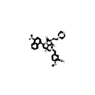 COc1ccc(CN2C[C@H]3CC(c4ccc(N(C)C)c5ccccc45)N4C(=O)N(CCN5CCOCC5)C(=O)[C@@]34C2)cc1N